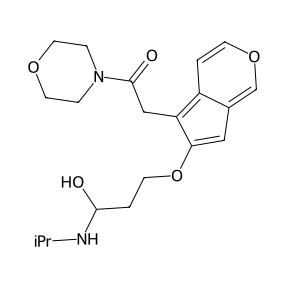 CC(C)NC(O)CCOc1cc2coccc-2c1CC(=O)N1CCOCC1